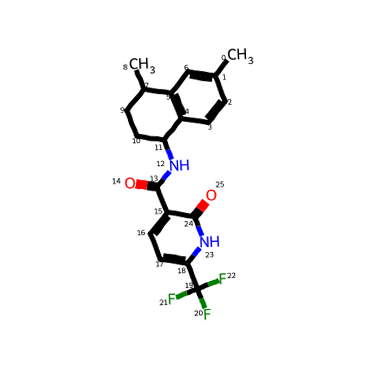 Cc1ccc2c(c1)C(C)CCC2NC(=O)c1ccc(C(F)(F)F)[nH]c1=O